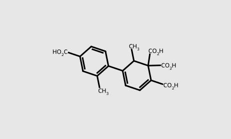 Cc1cc(C(=O)O)ccc1C1=CC=C(C(=O)O)C(C(=O)O)(C(=O)O)C1C